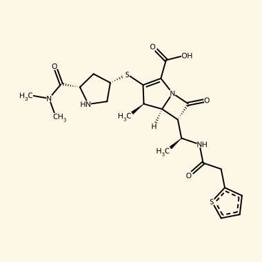 C[C@H](NC(=O)Cc1cccs1)[C@H]1C(=O)N2C(C(=O)O)=C(S[C@@H]3CN[C@H](C(=O)N(C)C)C3)[C@H](C)[C@H]12